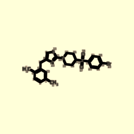 Cc1ccc(C)c(Cc2csc(N3CCC(S(=O)(=O)c4ccc(Br)cc4)CC3)n2)c1